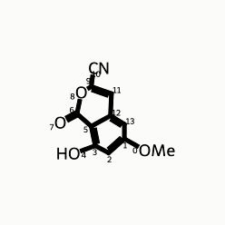 COc1cc(O)c2c(=O)oc(C#N)cc2c1